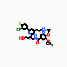 COc1cc(C(=O)NC/C(=C/CO)c2cc(CCCN)cc(-c3ccc(F)c(Cl)c3)n2)ccc1OC1CC1